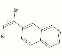 Br/C=C(/Br)c1ccc2ccccc2c1